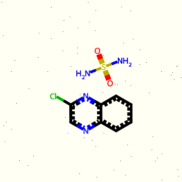 Clc1cnc2ccccc2n1.NS(N)(=O)=O